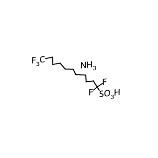 N.O=S(=O)(O)C(F)(F)CCCCCCCCCC(F)(F)F